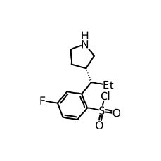 CCC(c1cc(F)ccc1S(=O)(=O)Cl)[C@@H]1CCNC1